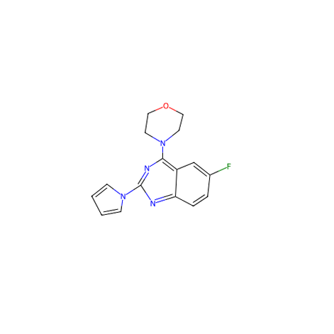 Fc1ccc2nc(-n3cccc3)nc(N3CCOCC3)c2c1